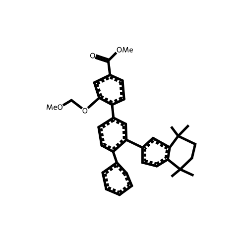 COCOc1cc(C(=O)OC)ccc1-c1ccc(-c2ccccc2)c(-c2ccc3c(c2)C(C)(C)CCC3(C)C)c1